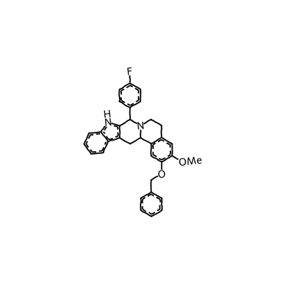 COc1cc2c(cc1OCc1ccccc1)C1Cc3c([nH]c4ccccc34)C(c3ccc(F)cc3)N1CC2